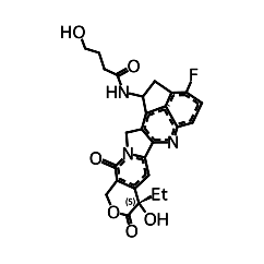 CC[C@@]1(O)C(=O)OCc2c1cc1n(c2=O)Cc2c-1nc1ccc(F)c3c1c2C(NC(=O)CCCO)C3